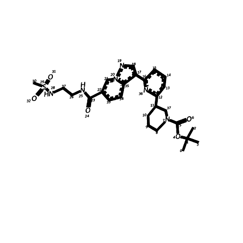 CC(C)(C)OC(=O)N1CCCC(c2cccc(-c3cnn4cc(C(=O)NCCNS(C)(=O)=O)ccc34)n2)C1